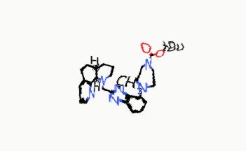 Cn1c(CN2CCC[C@H]3CCc4cccnc4[C@H]32)nc2cccc(N3CCN(C(=O)OC(C)(C)C)CC3)c21